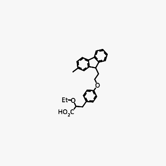 CCOC(Cc1ccc(OCCC2c3ccccc3-c3ccc(C)cc32)cc1)C(=O)O